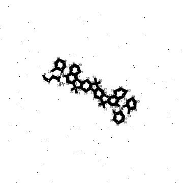 C/C=C\C=C(/C(C)C)N(c1ccccc1C)c1cc2c(c3ccccc13)-c1cc3c(cc1C2(C)C)-c1cc2c(cc1C3(C)C)-c1c(cc(N(c3ccccc3C)c3ccccc3C)c3ccccc13)C2(C)C